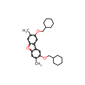 Cc1cc2oc3cc(C)c(OCC4CCCCC4)cc3c2cc1OCC1CCCCC1